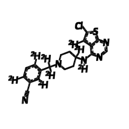 [2H]c1cc([2H])c(C([2H])([2H])N2CCC([2H])(N([2H])c3ncnc4sc(Cl)c([2H])c34)CC2)c([2H])c1C#N